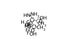 CCC(CC(=O)O)c1cccc(C(=N)N)c1.Cc1ccc(NS(C)(=O)=O)cc1.O=C(O)C(F)(F)F